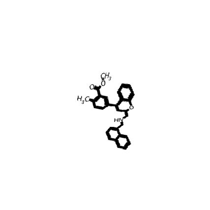 COC(=O)c1cc(C2CC(CNCc3cccc4ccccc34)Oc3ccccc32)ccc1C